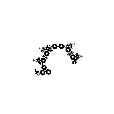 CCC(C)(C)Oc1ccc(C2(c3ccc(Oc4ccc(S(=O)(=O)c5ccc(C(CC)(CC)C(C)(CC)Oc6ccc(-c7ccc(Oc8ccc(S(=O)(=O)c9ccc(C(C)(CC)CC)c(S(=O)(=O)O)c9)cc8S(=O)(=O)O)cc7)cc6)c(S(=O)(=O)O)c5)cc4S(=O)(=O)O)cc3)CCCCC2)cc1